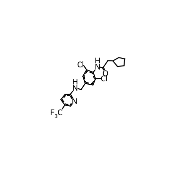 O=C(CC1CCCC1)Nc1c(Cl)cc(CNc2ccc(C(F)(F)F)cn2)cc1Cl